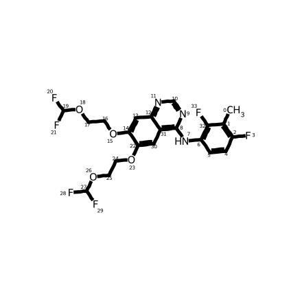 Cc1c(F)ccc(Nc2ncnc3cc(OCCOC(F)F)c(OCCOC(F)F)cc23)c1F